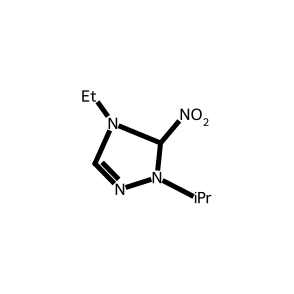 CCN1C=NN(C(C)C)C1[N+](=O)[O-]